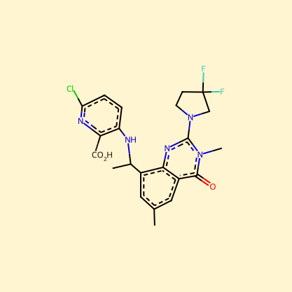 Cc1cc(C(C)Nc2ccc(Cl)nc2C(=O)O)c2nc(N3CCC(F)(F)C3)n(C)c(=O)c2c1